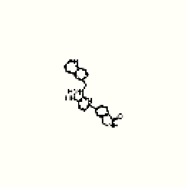 O=C1NCc2cc(-c3ccc4c(n3)N(Cc3ccc5ncccc5c3)NN4)ccc21